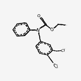 [CH2]COC(=O)N(c1ccccc1)c1ccc(Cl)c(Cl)c1